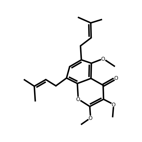 COc1oc2c(CC=C(C)C)cc(CC=C(C)C)c(OC)c2c(=O)c1OC